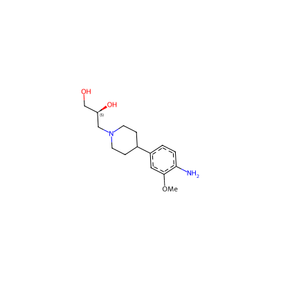 COc1cc(C2CCN(C[C@H](O)CO)CC2)ccc1N